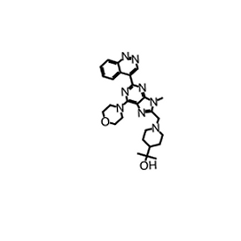 Cn1c(CN2CCC(C(C)(C)O)CC2)nc2c(N3CCOCC3)nc(-c3cnnc4ccccc34)nc21